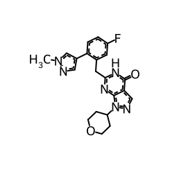 Cn1cc(-c2ccc(F)cc2Cc2nc3c(cnn3C3CCOCC3)c(=O)[nH]2)cn1